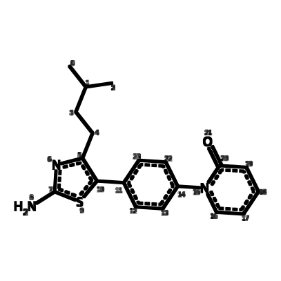 CC(C)CCc1nc(N)sc1-c1ccc(-n2ccccc2=O)cc1